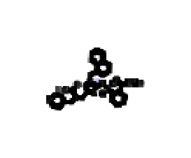 COC(=O)c1ccccc1S(=O)(=O)/N=c1\sc(CN(Cc2ccncc2)C(=O)C(F)(F)F)cn1Cc1cccc2ccccc12